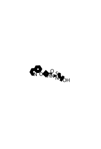 CC(C)(O)c1csc(NC(=O)[C@H]2C[C@H](Oc3cccc4cccnc34)C2)n1